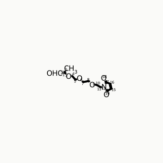 C[C@@H](C=O)OCCOCCOCCN1C(=O)C=CC1=O